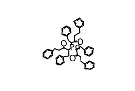 O=C(CCc1ccccc1)[CH](Cc1ccccc1)[Pd]([CH](Cc1ccccc1)C(=O)CCc1ccccc1)[CH](Cc1ccccc1)C(=O)CCc1ccccc1